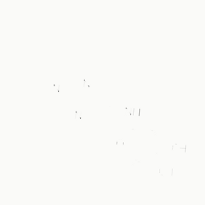 CC(C)(C)OC(=O)Nc1cnc2nc(-c3ccccc3)cn2c1